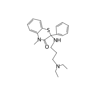 CCN(CC)CCCNC1(c2ccccc2)Sc2ccccc2N(C)C1=O